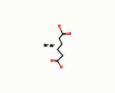 O=C([O-])CCCCC(=O)[O-].[Rb+].[Rb+]